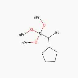 CCCO[Si](OCCC)(OCCC)C(CC)C1CCCC1